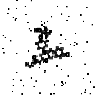 C[S+]([O-])C[C@H]1CN(C2CCNCC2)[C@@H](Cc2ccc(Cl)cc2)CO1.O=C(O)C(F)(F)F